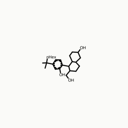 CCCCCCC(C)(C)c1ccc(C2C(CO)CCC3CC(O)CCC32)c(O)c1